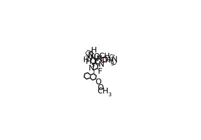 COCOc1cc(-c2ncc3c(N4C[C@H]5CC[C@@H](C4)N5C(=O)OC(C)(C)C)nc(OCC45CCCN4CCC5)nc3c2F)c2ccccc2c1